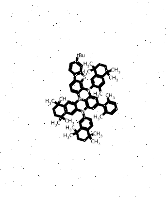 Cc1cc2c(cc1N1c3cc(-c4c(C)cccc4C)cc4c3B(c3cc5c(cc3N4c3ccc4c(c3)C(C)(C)CCC4(C)C)C(C)(C)CCC5(C)C)c3ccc4c(sc5cc(C(C)(C)C)ccc54)c31)C(C)(C)CCC2(C)C